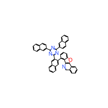 c1ccc2cc(-c3nc(-c4ccc5ccccc5c4)nc(-c4cc5ccccc5cc4-c4cccc5oc6c7ccccc7cnc6c45)n3)ccc2c1